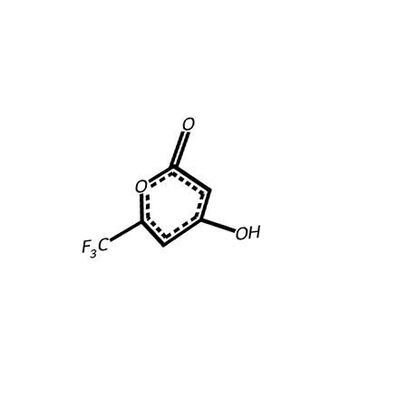 O=c1cc(O)cc(C(F)(F)F)o1